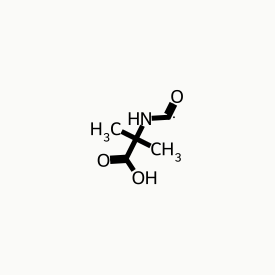 CC(C)(N[C]=O)C(=O)O